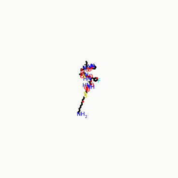 CC[C@H](C)C(NC(=O)C1CCCCN1C)C(=O)N(C)[C@H](C[C@@H](OC(C)=O)c1nc(C(=O)NC(Cc2ccc(F)cc2)C[C@H](C)C(=O)NNC(=O)OCCSSCCCCCCCCCCCN)cs1)C(C)C